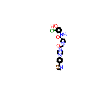 O=C(Nc1ccc(O)c(Cl)c1)[C@@H]1CCN(CC(=O)N2CCN(c3ccc(-c4nccs4)cc3)CC2)C1